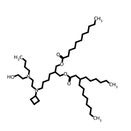 CCCCCCCCCCC(=O)OCC(CCCCN(CCN(CCO)CCCC)C1CCC1)COC(=O)CC(CCCCCC)CCCCCCCC